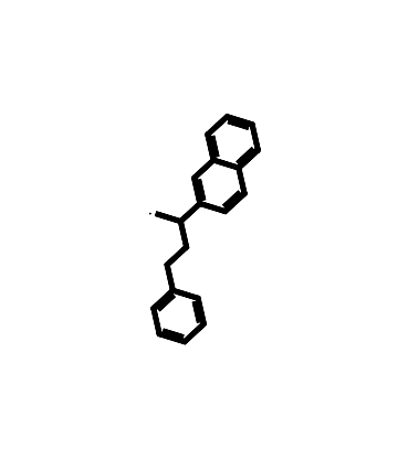 [CH2]C(CCc1ccccc1)c1ccc2ccccc2c1